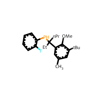 CCCC(CC)(Pc1ccccc1F)c1cc(C)cc(C(C)(C)C)c1OC